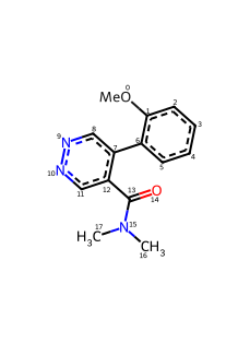 COc1ccccc1-c1cnncc1C(=O)N(C)C